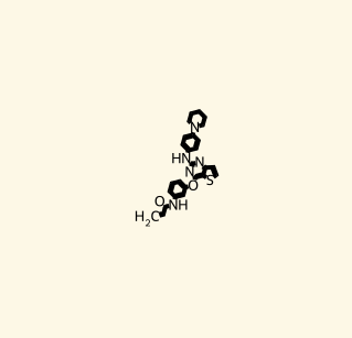 C=CC(=O)Nc1cccc(Oc2nc(Nc3ccc(N4CCCCC4)cc3)nc3ccsc23)c1